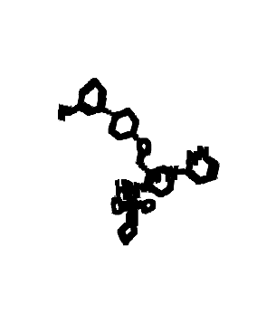 O=S(=O)(N[C@H]1CCN(c2cccnn2)C[C@H]1CO[C@H]1CC[C@@H](c2cccc(F)c2)CC1)N1CCC1